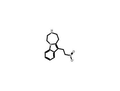 O=[N+]([O-])CCc1c2n(c3ccccc13)CCNCC2